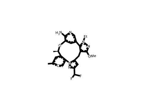 CCn1nc(OC)c2c1-c1cnc(N)c(c1)O[C@H](C)c1cc(C)ccc1-n1nc(C(F)F)cc1C2